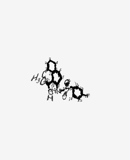 CC1=CCCc2ccc(NS(=O)(=O)c3ccc(F)cc3)c(C(=O)O)c21